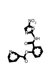 O=C(Oc1ccccc1C(=O)Nc1ncc([N+](=O)[O-])s1)c1cccnc1